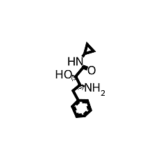 N[C@@H](Cc1ccccc1)[C@H](O)C(=O)NC1CC1